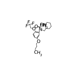 CCCCOc1ccc(OCC(F)(F)F)c(N(CC2CCCCN2)C(C)=O)c1